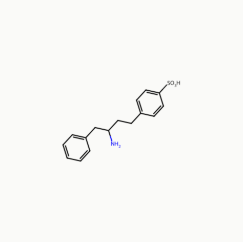 NC(CCc1ccc(S(=O)(=O)O)cc1)Cc1ccccc1